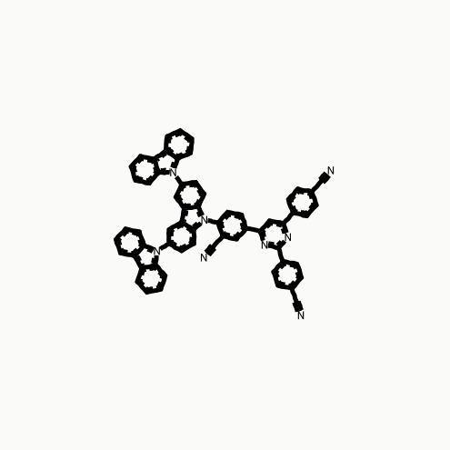 N#Cc1ccc(-c2cc(-c3ccc(-n4c5ccc(-n6c7ccccc7c7ccccc76)cc5c5cc(-n6c7ccccc7c7ccccc76)ccc54)c(C#N)c3)nc(-c3ccc(C#N)cc3)n2)cc1